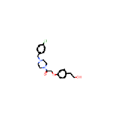 O=C(COc1ccc(CCO)cc1)N1CCN(Cc2ccc(Cl)cc2)CC1